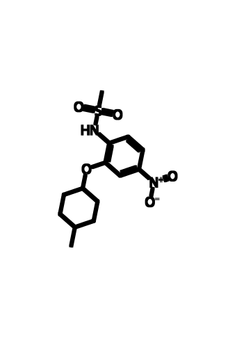 CC1CCC(Oc2cc([N+](=O)[O-])ccc2NS(C)(=O)=O)CC1